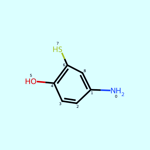 Nc1ccc(O)c(S)c1